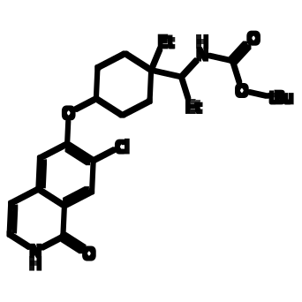 CCC(NC(=O)OC(C)(C)C)C1(CC)CCC(Oc2cc3cc[nH]c(=O)c3cc2Cl)CC1